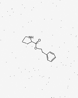 O=C(OCCc1ccccc1)C1CCCN1